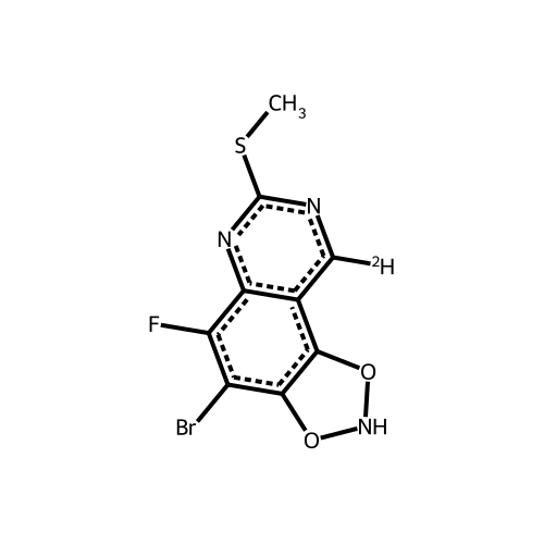 [2H]c1nc(SC)nc2c(F)c(Br)c3c(c12)ONO3